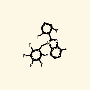 Cc1cccc2c1nc(-c1c(F)cccc1F)n2Cc1c(F)c(F)c(F)c(F)c1F